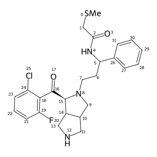 CSCC(=O)NC(CCN1CC2CNCC2[C@H]1C(=O)c1c(F)cccc1Cl)c1ccccc1